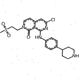 CS(=O)(=O)CCn1ccc2cc(Cl)nc(Nc3ccc(C4CCNCC4)cc3)c2c1=O